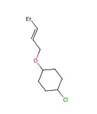 CCC=CCOC1CCC(Cl)CC1